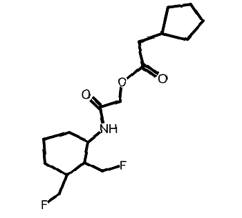 O=C(COC(=O)CC1CCCC1)NC1CCCC(CF)C1CF